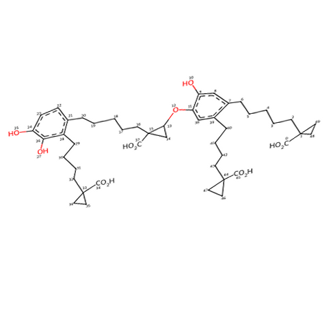 O=C(O)C1(CCCCCc2cc(O)c(OC3CC3(CCCCCc3ccc(O)c(O)c3CCCCC3(C(=O)O)CC3)C(=O)O)cc2CCCCC2(C(=O)O)CC2)CC1